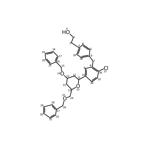 OCCc1ccc(Cc2cc(C3CC(OCc4ccccc4)CC(COCc4ccccc4)O3)ccc2Cl)cc1